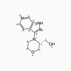 OC[C@@H]1COCCN1c1n[nH]c2cnccc12